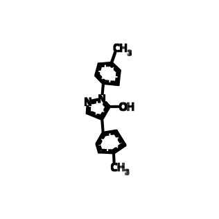 Cc1ccc(-c2cnn(-c3ccc(C)cc3)c2O)cc1